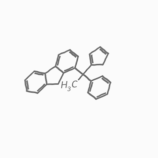 CC(C1=CC=CC1)(c1ccccc1)c1cccc2c1Cc1ccccc1-2